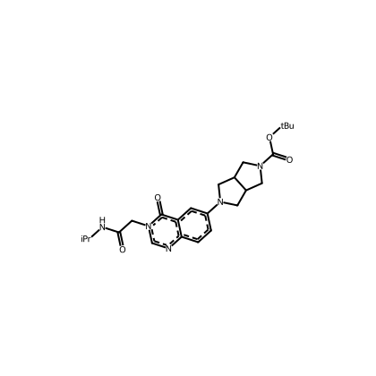 CC(C)NC(=O)Cn1cnc2ccc(N3CC4CN(C(=O)OC(C)(C)C)CC4C3)cc2c1=O